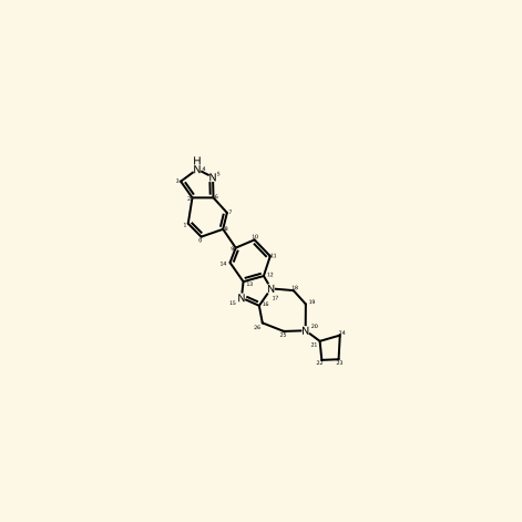 c1cc2c[nH]nc2cc1-c1ccc2c(c1)nc1n2CCN(C2CCC2)CC1